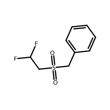 O=S(=O)(Cc1ccccc1)CC(F)F